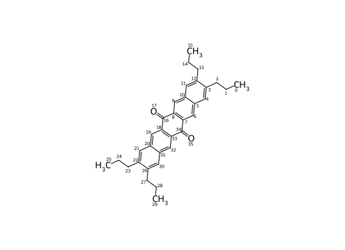 CCCc1cc2cc3c(cc2cc1CCC)C(=O)c1cc2cc(CCC)c(CCC)cc2cc1C3=O